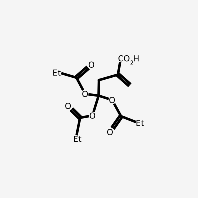 C=C(CC(OC(=O)CC)(OC(=O)CC)OC(=O)CC)C(=O)O